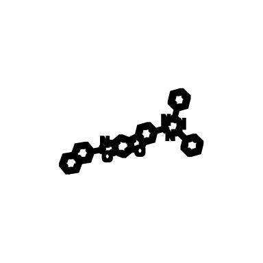 c1ccc(-c2nc(-c3ccccc3)nc(-c3ccc4c(c3)oc3cc5oc(-c6ccc7ccccc7c6)nc5cc34)n2)cc1